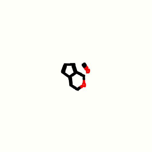 C1=CC2=CCOCC2=C1.C=O